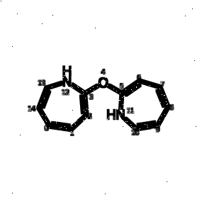 C1=CC=C(OC2=CC=CC=CN2)NC=C1